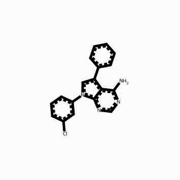 Nc1ncnc2c1c(-c1ccccc1)cn2-c1cccc(Cl)c1